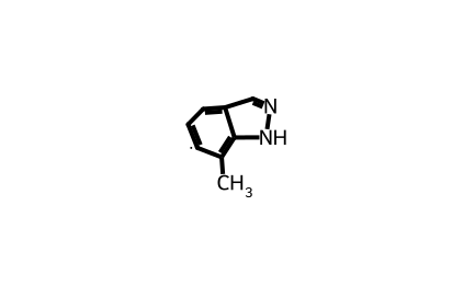 Cc1[c]ccc2cn[nH]c12